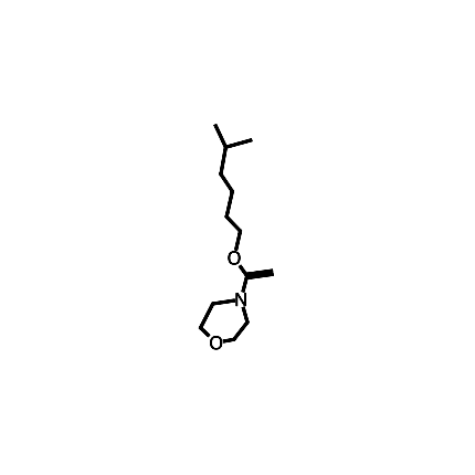 C=C(OCCCCC(C)C)N1CCOCC1